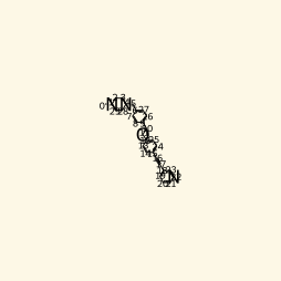 CN1CCN(Cc2ccc(COc3ccc(C#Cc4cccnc4)cc3)cc2)CC1